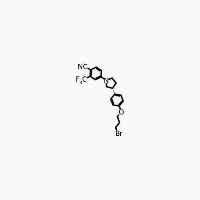 N#Cc1ccc(N2CC[C@H](c3ccc(OCCCBr)cc3)C2)cc1C(F)(F)F